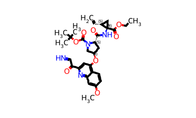 C=C[C@@H]1C[C@]1(NC(=O)[C@@H]1C[C@@H](Oc2cc(C(=O)C=N)nc3cc(OC)ccc23)CN1C(=O)OC(C)(C)C)C(=O)OCC